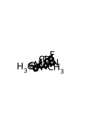 CCCc1nc2c(OC)cccc2n1Cc1ccc2c(c1)COc1cc(F)ccc1/C2=C(/C)C#N